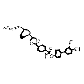 CCCCCC1CCC(C2COC(C3CCC(C(F)(F)Oc4ccc(-c5ccc(Cl)c(F)c5)cc4)CC3)OC2)CC1